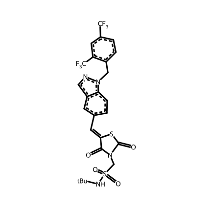 CC(C)(C)NS(=O)(=O)CN1C(=O)S/C(=C\c2ccc3c(cnn3Cc3ccc(C(F)(F)F)cc3C(F)(F)F)c2)C1=O